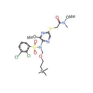 COc1nc(SCC(=O)N(C)OC)cnc1N(COCC[Si](C)(C)C)S(=O)(=O)c1cccc(Cl)c1Cl